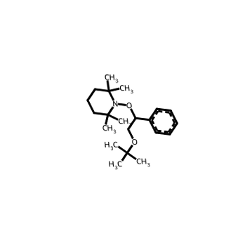 CC(C)(C)OCC(ON1C(C)(C)CCCC1(C)C)c1ccccc1